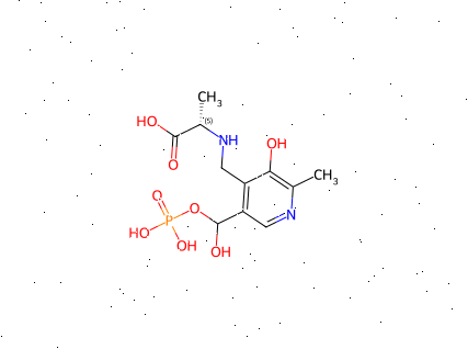 Cc1ncc(C(O)OP(=O)(O)O)c(CN[C@@H](C)C(=O)O)c1O